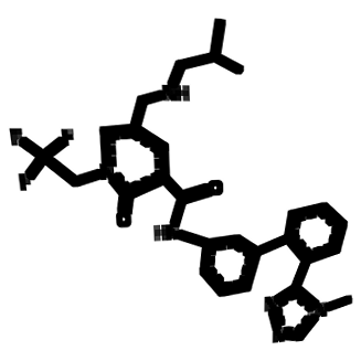 CC(C)CNCc1cc(C(=O)Nc2cccc(-c3ccccc3-c3nncn3C)c2)c(=O)n(CC(F)(F)F)c1